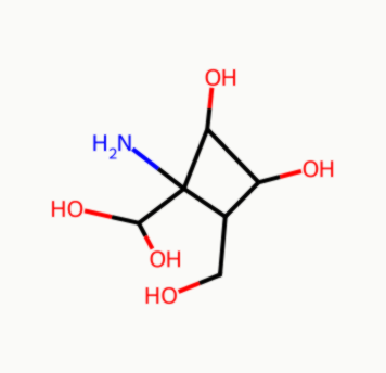 NC1(C(O)O)C(O)C(O)C1CO